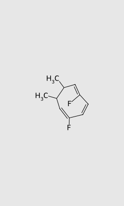 CC1/C=C(F)/C=C\C(F)=C/C1C